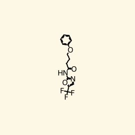 O=C(CCCOc1ccccc1)Nc1ncc(C(F)(F)F)o1